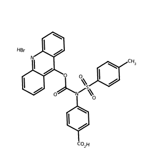 Br.Cc1ccc(S(=O)(=O)N(C(=O)Oc2c3ccccc3nc3ccccc23)c2ccc(C(=O)O)cc2)cc1